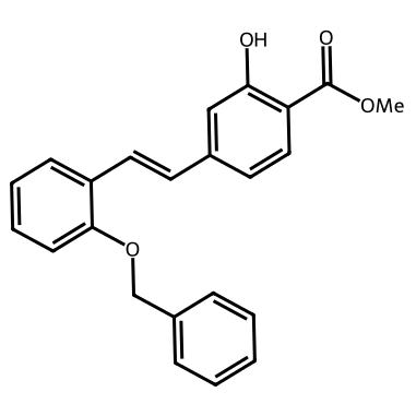 COC(=O)c1ccc(C=Cc2ccccc2OCc2ccccc2)cc1O